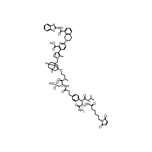 Cc1c(-c2ccc(N3CCc4cccc(C(=O)Nc5nc6ccccc6s5)c4C3)nc2C(=O)O)cnn1CC12CC3(C)CC(C)(C1)CC(OCCN(C)C(=O)[C@H](CS(=O)(=O)O)NC(=O)OCc1ccc(N(C(=O)[C@@H](NC(=O)CCCCCN4C(=O)C=CC4=O)C(C)C)[C@@H](C)C(N)=O)cc1)(C3)C2